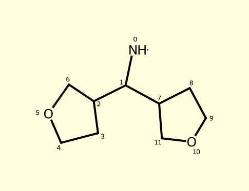 [NH]C(C1CCOC1)C1CCOC1